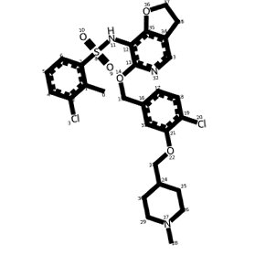 Cc1c(Cl)cccc1S(=O)(=O)Nc1c(OCc2ccc(Cl)c(OCC3CCN(C)CC3)c2)ncc2c1OCC2